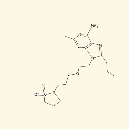 CCCc1nc2c(N)nc(C)cc2n1CCOCCCN1CCCS1(=O)=O